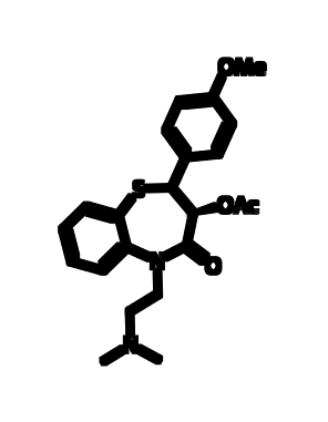 COc1ccc(C2Sc3ccccc3N(CCN(C)C)C(=O)[C@@H]2OC(C)=O)cc1